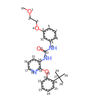 COCCOc1cccc(NC(=O)Nc2cccnc2Oc2ccccc2C(C)(C)C)c1